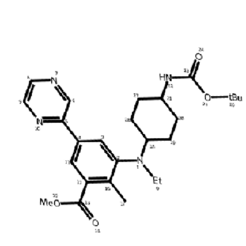 CCN(c1cc(-c2cnccn2)cc(C(=O)OC)c1C)C1CCC(NC(=O)OC(C)(C)C)CC1